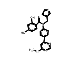 COc1cc(-c2ccc(N(Cc3ccsc3)C(=O)c3ccc(O)cc3O)cc2)ncn1